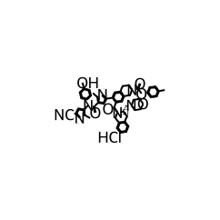 Cc1ccc(OC(=O)N2CCc3cc(-c4cc(C(=O)N(c5ccc(O)cc5)c5cc(C#N)n(C)c5C)c(C)n4C)c(C(=O)N4Cc5ccccc5C[C@H]4CN4CCOCC4)cc3C2)cc1.Cl